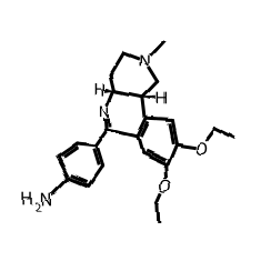 CCOc1cc2c(cc1OCC)[C@H]1CN(C)CC[C@H]1N=C2c1ccc(N)cc1